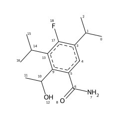 CC(C)c1cc(C(N)=O)c(C(C)O)c(C(C)C)c1F